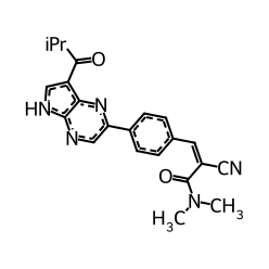 CC(C)C(=O)c1c[nH]c2ncc(-c3ccc(/C=C(/C#N)C(=O)N(C)C)cc3)nc12